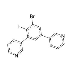 Brc1cc(-c2cccnc2)cc(-c2cccnc2)c1I